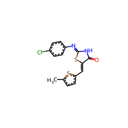 Cc1ccc(C=C2SC(=Nc3ccc(Cl)cc3)NC2=O)s1